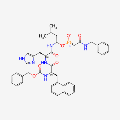 CC(C)CC(NC(=O)[C@H](Cc1c[nH]cn1)NC(=O)[C@@H](Cc1cccc2ccccc12)NC(=O)OCc1ccccc1)O/[P+]([O-])=C/C(=O)NCc1ccccc1